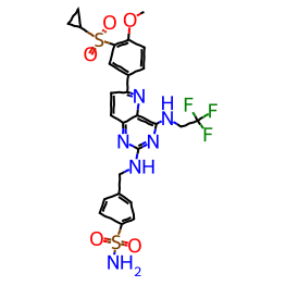 COc1ccc(-c2ccc3nc(NCc4ccc(S(N)(=O)=O)cc4)nc(NCC(F)(F)F)c3n2)cc1S(=O)(=O)C1CC1